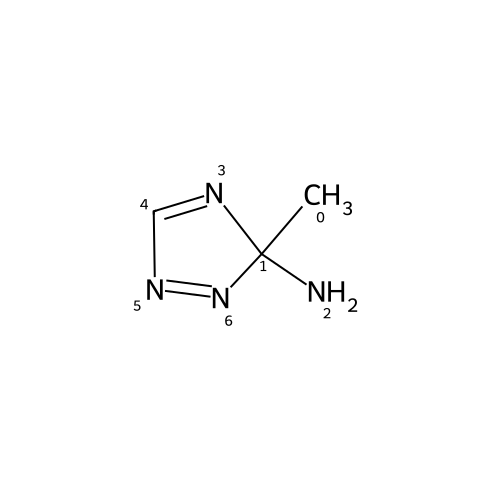 CC1(N)N=CN=N1